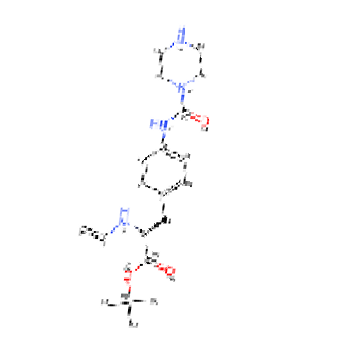 C=CN[C@@H](Cc1ccc(NC(=O)N2CCNCC2)cc1)C(=O)OC(C)(C)C